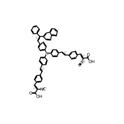 [C-]#[N+]/C(=C\c1ccc(/C=C/c2ccc(N(c3ccc(/C=C(/c4ccccc4)c4ccc5ccccc5c4)cc3)c3ccc(/C=C/c4ccc(/C=C(\[N+]#[C-])C(=O)O)cc4)cc3)cc2)cc1)C(=O)O